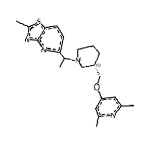 Cc1cc(OC[C@H]2CCCN(C(C)c3ccc4sc(C)nc4n3)C2)cc(C)n1